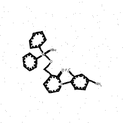 CC(C)(C)[Si](OCc1cccn(-c2ccc(N)cc2C(F)(F)F)c1=O)(c1ccccc1)c1ccccc1